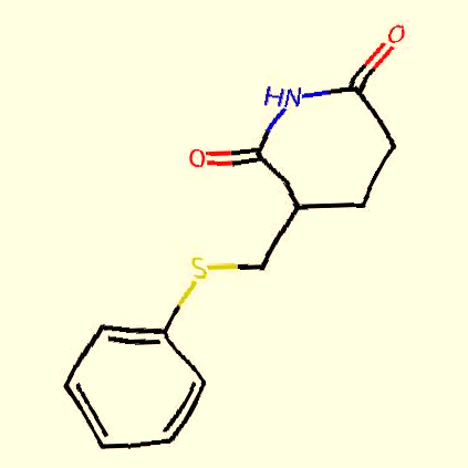 O=C1CCC(CSc2ccccc2)C(=O)N1